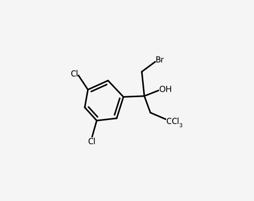 OC(CBr)(CC(Cl)(Cl)Cl)c1cc(Cl)cc(Cl)c1